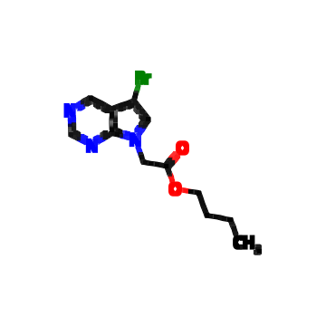 CCCCOC(=O)Cn1cc(Br)c2cncnc21